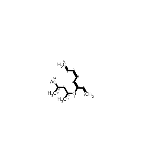 C=C/C=C\C=C(/C=C)OC(C)CC(C)C(C)=O